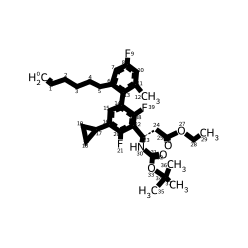 C=CCCCCc1cc(F)cc(C)c1-c1cc(C2CC2)c(F)c([C@H](CC(=O)OCC)NC(=O)OC(C)(C)C)c1F